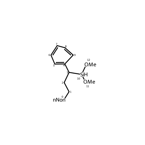 CCCCCCCCCCCC(c1ccccc1)[SiH](OC)OC